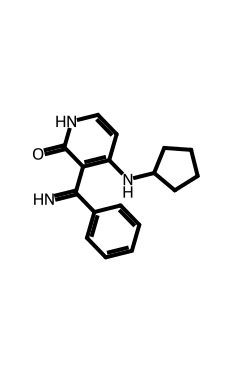 N=C(c1ccccc1)c1c(NC2CCCC2)cc[nH]c1=O